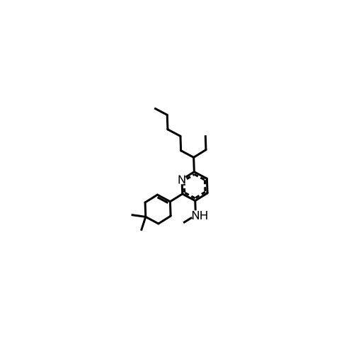 CCCCCC(CC)c1ccc(NC)c(C2=CCC(C)(C)CC2)n1